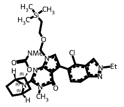 CCn1cc2c(Cl)c(-c3cn(COCC[Si](C)(C)C)c4nc(N5[C@H]6CC[C@@H]5[C@H](OC(=O)NC)C6)n(C)c(=O)c34)ccc2n1